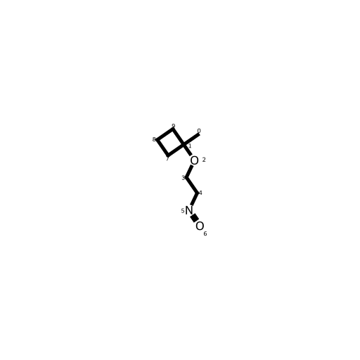 CC1(OCCN=O)CCC1